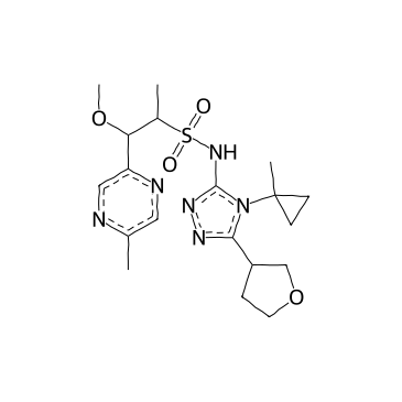 COC(c1cnc(C)cn1)C(C)S(=O)(=O)Nc1nnc(C2CCOC2)n1C1(C)CC1